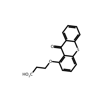 O=C(O)CCOc1cccc2sc3ccccc3c(=O)c12